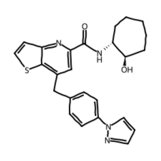 O=C(N[C@@H]1CCCCC[C@H]1O)c1cc(Cc2ccc(-n3cccn3)cc2)c2sccc2n1